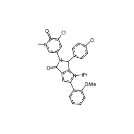 COc1ccccc1-c1cc2c(n1C(C)C)C(c1ccc(Cl)cc1)N(c1cc(Cl)c(=O)n(C)c1)C2=O